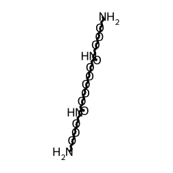 NCCCOCCOCCOCCCNC(=O)CCOCCOCCOCCOCCOCCC(=O)NCCCOCCOCCOCCCN